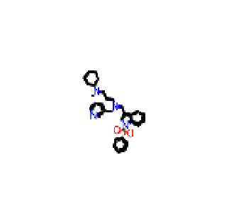 CN(CCCN(Cc1cccnc1)Cc1cn(S(=O)(=O)c2ccccc2)c2ccccc12)C1CCCCC1